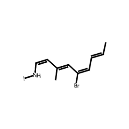 C/C=C/C=C(Br)\C=C(C)\C=C/NI